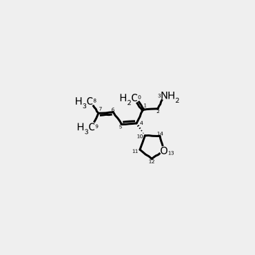 C=C(CN)/C(=C\C=C(C)C)[C@H]1CCOC1